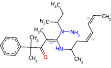 C/C=C\C=C/CC(C)N/C(=C(/C)C(=O)C(C)(C)c1ccccc1)N(N)C(C)CC